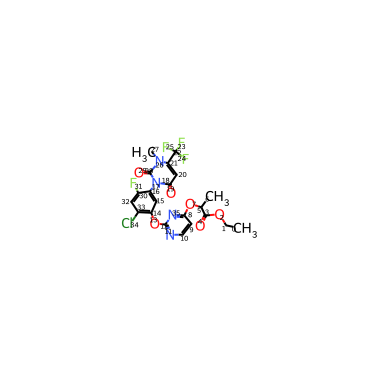 CCOC(=O)C(C)Oc1ccnc(Oc2cc(-n3c(=O)cc(C(F)(F)F)n(C)c3=O)c(F)cc2Cl)n1